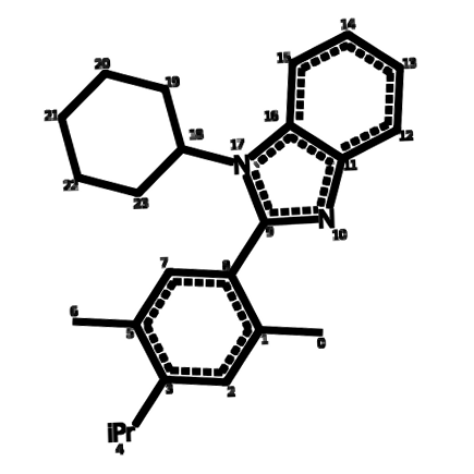 Cc1cc(C(C)C)c(C)cc1-c1nc2ccccc2n1C1CCCCC1